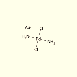 [Au].[NH2][Pd]([NH2])([Cl])[Cl]